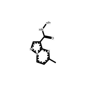 CCCNC(=O)c1cnn2ccc(C)nc12